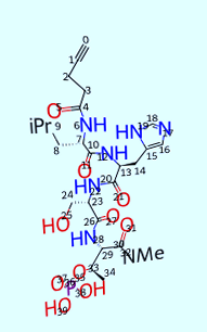 C#CCCC(=O)N[C@@H](CC(C)C)C(=O)N[C@@H](Cc1cnc[nH]1)C(=O)N[C@@H](CO)C(=O)N[C@H](C(=O)NC)[C@@H](C)OP(=O)(O)O